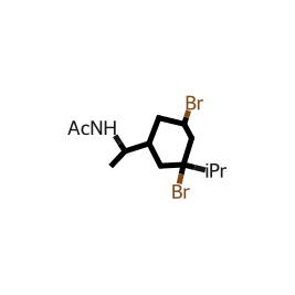 CC(=O)NC(C)C1CC(Br)CC(Br)(C(C)C)C1